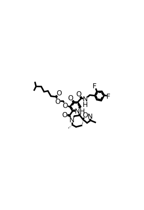 CC1=NO[C@@]2(CC[C@H](C)N3C[C@H]2n2cc(C(=O)NCc4ccc(F)cc4F)c(=O)c(OCOC(=O)CCCCC(C)C)c2C3=O)C1